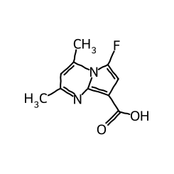 Cc1cc(C)n2c(F)cc(C(=O)O)c2n1